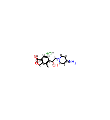 Cc1c(C(O)CN2CCC(N)CC2)ccc2c1COC2=O.Cl